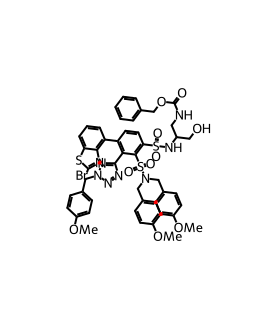 COc1ccc(CN(Cc2ccc(OC)cc2)S(=O)(=O)c2c(S(=O)(=O)NC(CO)CNC(=O)OCc3ccccc3)ccc(-c3cccc4sc(Br)nc34)c2-c2nnn(Cc3ccc(OC)cc3)n2)cc1